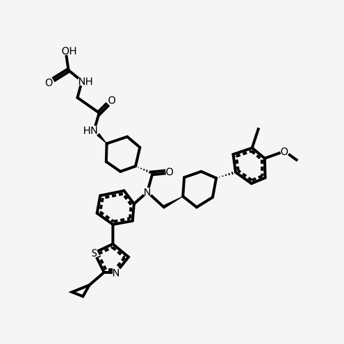 COc1ccc([C@H]2CC[C@H](CN(c3cccc(-c4cnc(C5CC5)s4)c3)C(=O)[C@H]3CC[C@H](NC(=O)CNC(=O)O)CC3)CC2)cc1C